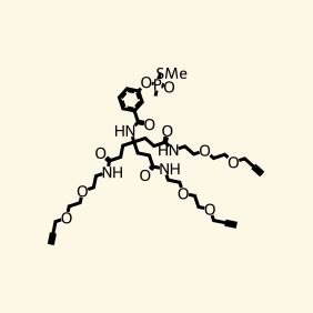 C#CCOCCOCCNC(=O)CCC(CCC(=O)NCCOCCOCC#C)(CCC(=O)NCCOCCOCC#C)NC(=O)c1cccc(OP(C)(=O)SC)c1